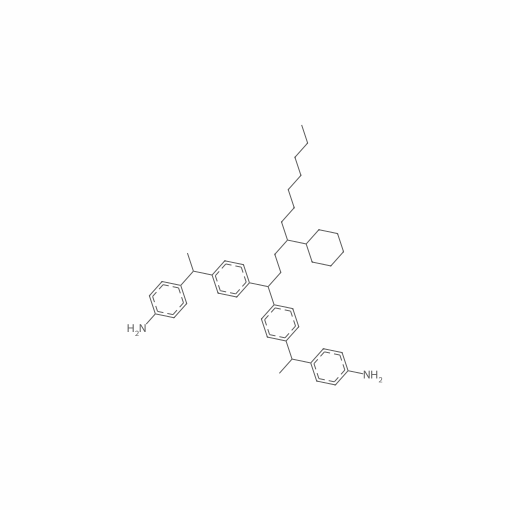 CCCCCCCC(CCC(c1ccc(C(C)c2ccc(N)cc2)cc1)c1ccc(C(C)c2ccc(N)cc2)cc1)C1CCCCC1